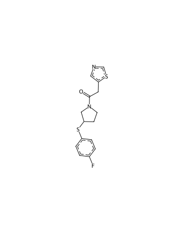 O=C(Cc1cncs1)N1CCC(Sc2ccc(F)cc2)C1